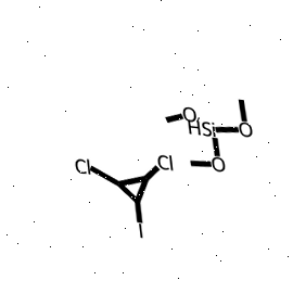 CO[SiH](OC)OC.ClC1C(Cl)C1I